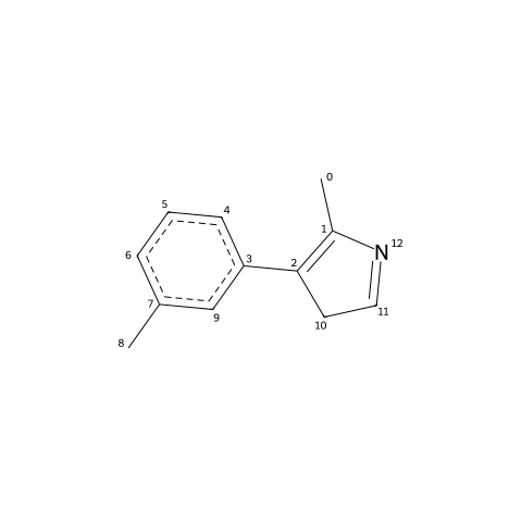 CC1=C(c2cccc(C)c2)CC=N1